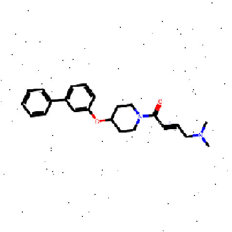 CN(C)C/C=C/C(=O)N1CCC(Oc2cccc(-c3ccccc3)c2)CC1